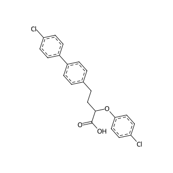 O=C(O)C(CCc1ccc(-c2ccc(Cl)cc2)cc1)Oc1ccc(Cl)cc1